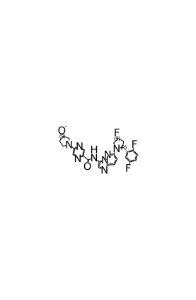 CO[C@H]1CCN(c2cnc(C(=O)Nc3cnc4ccc(N5C[C@@H](F)C[C@@H]5c5cc(F)ccc5F)nn34)cn2)C1